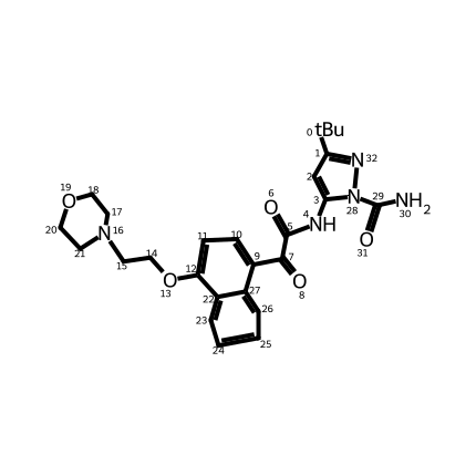 CC(C)(C)c1cc(NC(=O)C(=O)c2ccc(OCCN3CCOCC3)c3ccccc23)n(C(N)=O)n1